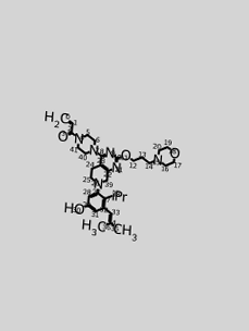 C=CC(=O)N1CCN(c2nc(OCCCN3CCOCC3)nc3c2CCN(c2cc(O)cc(C=C(C)C)c2C(C)C)C3)CC1